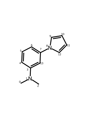 CN(C)c1cccc(-n2cccc2)c1